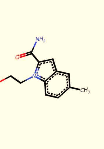 Cc1[c]cc2c(c1)cc(C(N)=O)n2CCO